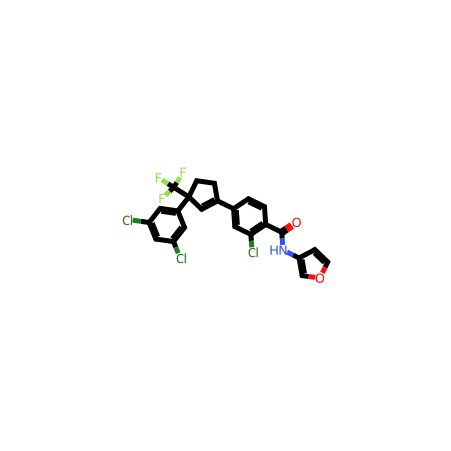 O=C(Nc1ccoc1)c1ccc(C2=CC(c3cc(Cl)cc(Cl)c3)(C(F)(F)F)CC2)cc1Cl